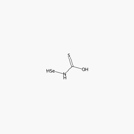 OC(=S)N[SeH]